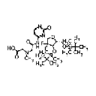 CN(CC(=O)O)CC(=O)Nc1ccnc(=O)n1[C@@H]1O[C@H](CO[Si](C)(C)C(C)(C)C)[C@@H](O[Si](C)(C)C(C)(C)C)C1(F)F